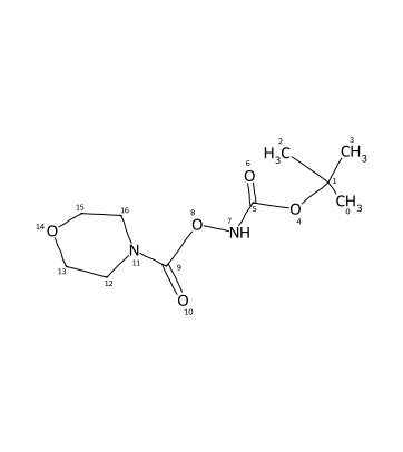 CC(C)(C)OC(=O)NOC(=O)N1CCOCC1